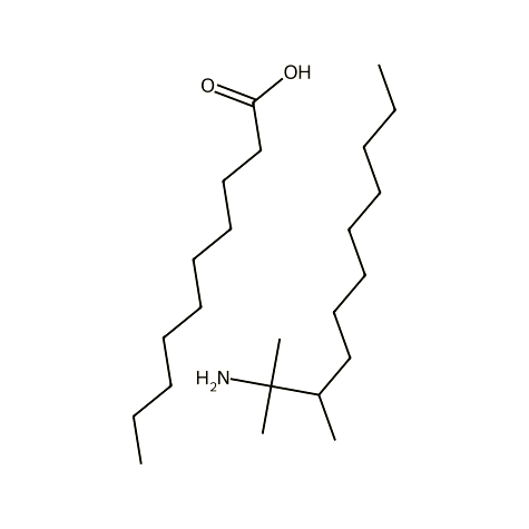 CCCCCCCCC(C)C(C)(C)N.CCCCCCCCCC(=O)O